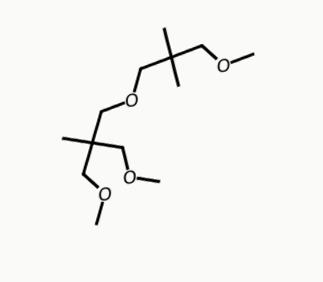 COCC(C)(C)COCC(C)(COC)COC